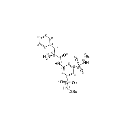 CC(C)(C)NS(=O)(=O)c1cc(NC(=O)[C@@H](N)Cc2ccccc2)cc(S(=O)(=O)NC(C)(C)C)c1